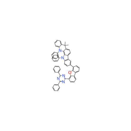 CC1(C)c2ccccc2N(c2ccccc2)c2c1ccc1c3cc(-c4cccc5c4oc4c(-c6nc(-c7ccccc7)nc(-c7ccccc7)n6)cccc45)ccc3n(-c3ccccc3)c21